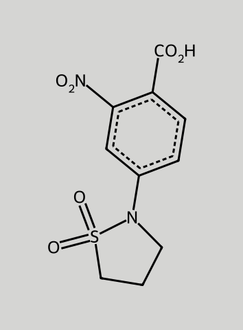 O=C(O)c1ccc(N2CCCS2(=O)=O)cc1[N+](=O)[O-]